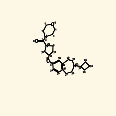 O=C(N1CCOCC1)N1CCC(Oc2ccc3c(c2)CCN(C2CCC2)CC3)C1